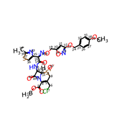 BOC(=O)C1=C(CCl)C[S+]([O-])[C@@H]2[C@H](NC(=O)/C(=N\OCc3cc(OCc4ccc(OC)cc4)no3)c3csc(C)n3)C(=O)N12